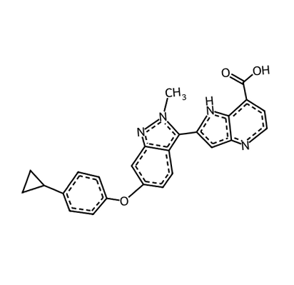 Cn1nc2cc(Oc3ccc(C4CC4)cc3)ccc2c1-c1cc2nccc(C(=O)O)c2[nH]1